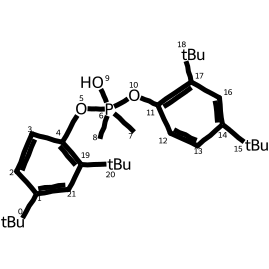 CC(C)(C)c1ccc(OP(C)(C)(O)Oc2ccc(C(C)(C)C)cc2C(C)(C)C)c(C(C)(C)C)c1